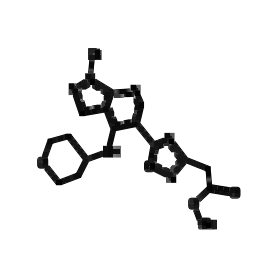 CCn1ncc2c(NC3CCOCC3)c(-c3nc(CC(=O)OC(C)(C)C)no3)cnc21